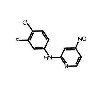 O=Nc1ccnc(Nc2ccc(Cl)c(F)c2)c1